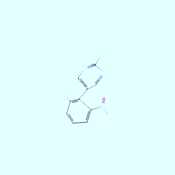 O=[N+]([O-])c1cccc(F)c1-c1cnc(Cl)nc1